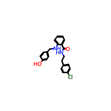 O=C(NCCc1ccc(Cl)cc1)c1ccccc1NCc1ccc(O)cc1